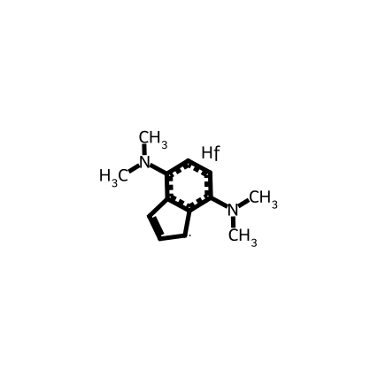 CN(C)c1ccc(N(C)C)c2c1[CH]C=C2.[Hf]